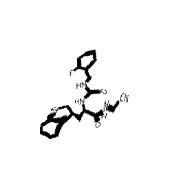 N#CCNC(=O)C(Cc1csc2ccccc12)NC(=O)NCc1ccccc1F